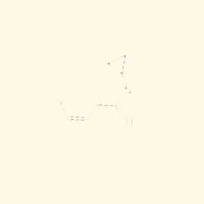 CC/C=C\CC(C)NC1CC1